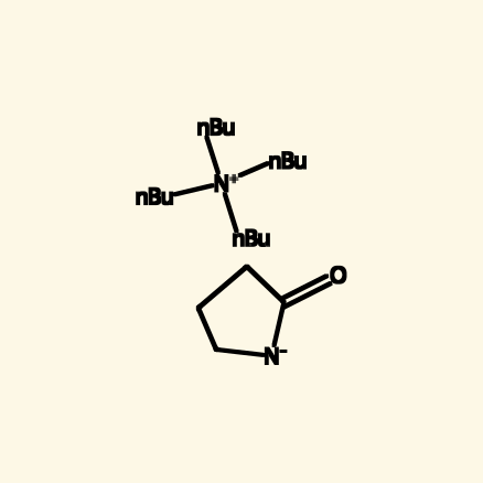 CCCC[N+](CCCC)(CCCC)CCCC.O=C1CCC[N-]1